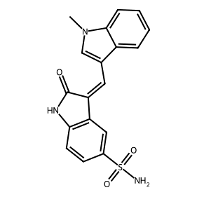 Cn1cc(/C=C2\C(=O)Nc3ccc(S(N)(=O)=O)cc32)c2ccccc21